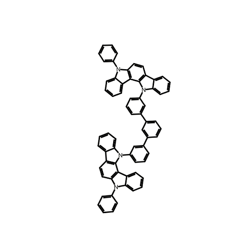 c1ccc(-n2c3ccccc3c3c2ccc2c4ccccc4n(-c4cccc(-c5cccc(-c6cccc(-n7c8ccccc8c8ccc9c(c%10ccccc%10n9-c9ccccc9)c87)c6)c5)c4)c23)cc1